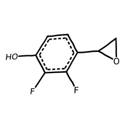 Oc1ccc(C2CO2)c(F)c1F